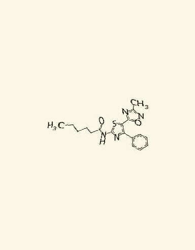 CCCCCC(=O)Nc1nc(-c2ccccc2)c(-c2nc(C)no2)s1